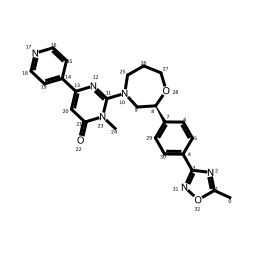 Cc1nc(-c2ccc([C@H]3CN(c4nc(-c5ccncc5)cc(=O)n4C)CCCO3)cc2)no1